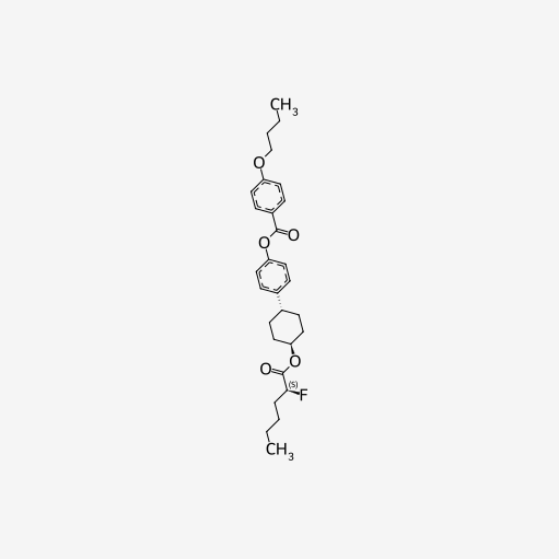 CCCCOc1ccc(C(=O)Oc2ccc([C@H]3CC[C@H](OC(=O)[C@@H](F)CCCC)CC3)cc2)cc1